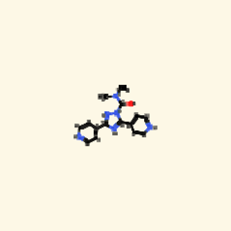 CN(C)C(=O)n1nc(-c2ccncc2)nc1-c1ccncc1